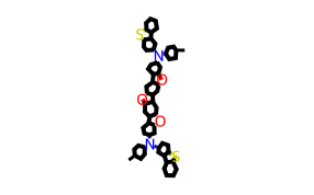 Cc1ccc(N(c2ccc3c(c2)oc2cc4c(cc23)oc2cc3c(cc24)oc2cc(N(c4ccc(C)cc4)c4ccc5sc6ccccc6c5c4)ccc23)c2ccc3sc4ccccc4c3c2)cc1